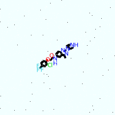 Cc1nc(N2CC3CC2CN3)nc2ccc(NC(=O)COc3ccc(C(F)(F)F)cc3Cl)cc12